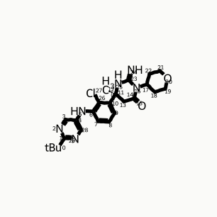 CC(C)(C)c1ncc(Nc2cccc([C@]3(C)CC(=O)N(C4CCOCC4)C(=N)N3)c2Cl)cn1